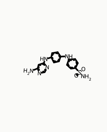 Nc1cc(Nc2ccc(Nc3ccc(S(N)(=O)=O)cc3)cc2)ncn1